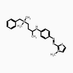 CC(CC[N+](C)(C)Cc1ccccc1)Nc1ccc(N=Nc2scc[n+]2C)cc1